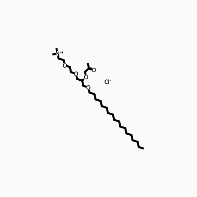 CCCCCCCCCCCCCCCCCCOCC(COCCOCC[N+](C)(C)C)OCC(C)=O.[Cl-]